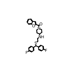 O=C(c1cc2ccccc2o1)N1CCC(NCCSC(c2ccc(F)cc2)c2ccc(F)cc2)CC1